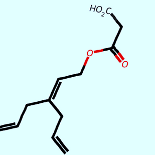 C=CCC(=CCOC(=O)CC(=O)O)CC=C